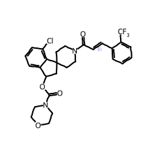 O=C(/C=C/c1ccccc1C(F)(F)F)N1CCC2(CC1)CC(OC(=O)N1CCOCC1)c1cccc(Cl)c12